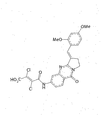 COc1ccc(C=C2CCn3c2nc2cc(NC(=O)C(Cl)=C(Cl)C(=O)O)ccc2c3=O)c(OC)c1